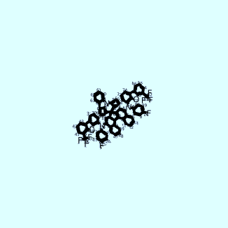 Fc1ccc(N(c2cc3c(c4ccccc24)-c2c(cc(N(c4ccc(F)cc4)c4cccc5c4oc4c(C(F)(F)F)cccc45)c4ccccc24)C32c3ccccc3-n3c4ccccc4c4cccc2c43)c2cccc3c2oc2c(C(F)(F)F)cccc23)cc1